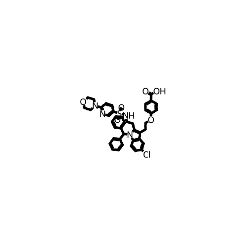 O=C(O)c1ccc(OCCc2c(CCNS(=O)(=O)c3ccc(N4CCOCC4)nc3)n(C(c3ccccc3)c3ccccc3)c3ccc(Cl)cc23)cc1